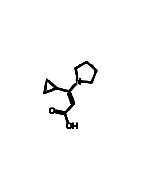 O=C(O)C=C(C1CC1)N1CCCC1